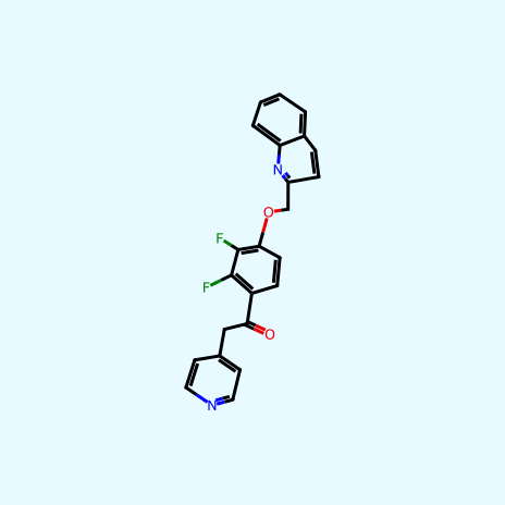 O=C(Cc1ccncc1)c1ccc(OCc2ccc3ccccc3n2)c(F)c1F